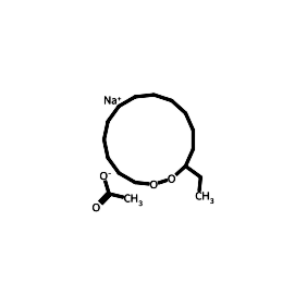 CC(=O)[O-].CCC1CCCCCCCCCCCCOO1.[Na+]